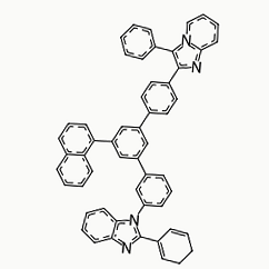 C1=CC(c2nc3ccccc3n2-c2cccc(-c3cc(-c4ccc(-c5nc6ccccn6c5-c5ccccc5)cc4)cc(-c4cccc5ccccc45)c3)c2)=CCC1